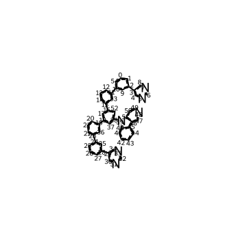 c1cc(-c2cncnc2)cc(-c2cccc(-c3cc(-c4cccc(-c5cccc(-c6cncnc6)c5)c4)cc(-n4c5ccccc5c5cnccc54)c3)c2)c1